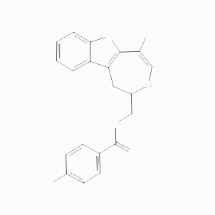 CCOC(=O)C1=CNC(COC(=O)c2ccc(F)cc2)Cc2c1[nH]c1ccccc21